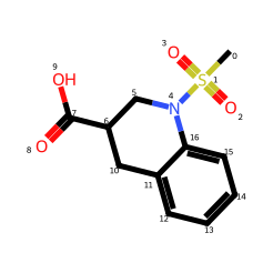 CS(=O)(=O)N1CC(C(=O)O)Cc2ccccc21